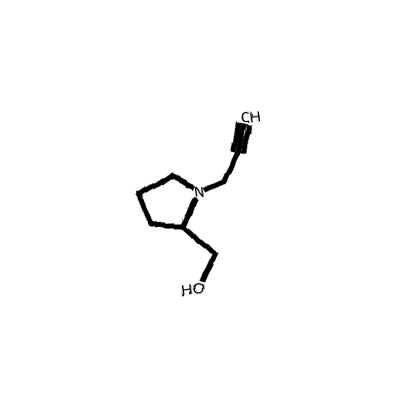 C#CCN1CCCC1CO